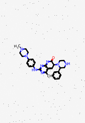 Cc1nc(Nc2ccc(N3CCN(C)CC3)cc2)nc2c1=CC(N1CCNCC1c1ccccc1)C(=O)N=2